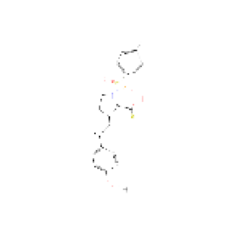 COc1ccc([C@@H](C)CC2CCN(S(=O)(=O)c3ccc(C)cc3)C2C(O)=S)cc1